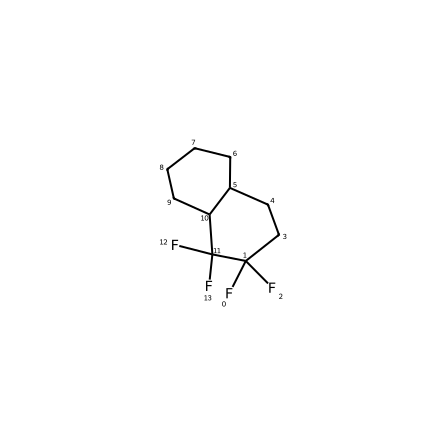 FC1(F)CCC2CCCCC2C1(F)F